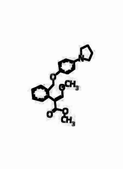 CO/C=C(/C(=O)OC)c1ccccc1COc1ccc(N2CCCC2)cc1